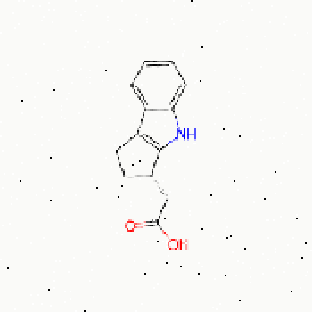 O=C(O)C[C@@H]1CCc2c1[nH]c1ccccc21